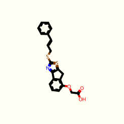 O=C(O)COc1cccc2c1Cc1sc(SCC=Cc3ccccc3)nc1-2